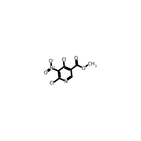 COC(=O)c1cnc(Cl)c([N+](=O)[O-])c1Cl